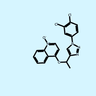 CC(Oc1cc[n+]([O-])c2ccccc12)c1cn(-c2ccc(Cl)c(Cl)c2)nn1